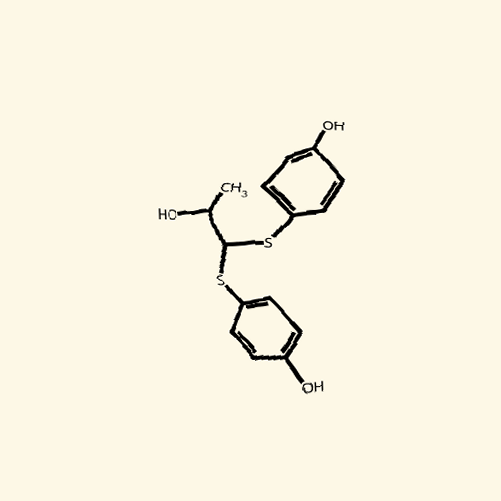 CC(O)C(Sc1ccc(O)cc1)Sc1ccc(O)cc1